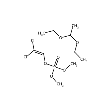 CCOC(C)OCC.COP(=O)(OC)OC=C(Cl)Cl